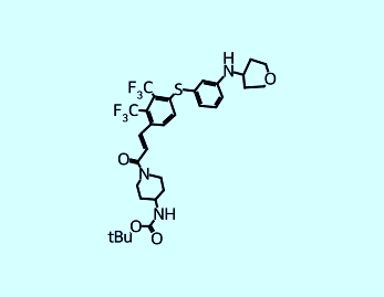 CC(C)(C)OC(=O)NC1CCN(C(=O)C=Cc2ccc(Sc3cccc(NC4CCOCC4)c3)c(C(F)(F)F)c2C(F)(F)F)CC1